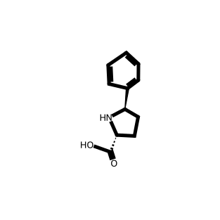 O=C(O)[C@H]1CC[C@H](c2ccccc2)N1